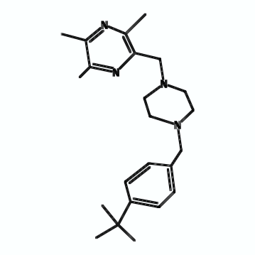 Cc1nc(C)c(CN2CCN(Cc3ccc(C(C)(C)C)cc3)CC2)nc1C